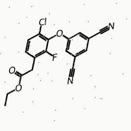 CCOC(=O)Cc1ccc(Cl)c(Oc2cc(C#N)cc(C#N)c2)c1F